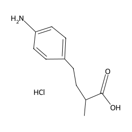 CC(CCc1ccc(N)cc1)C(=O)O.Cl